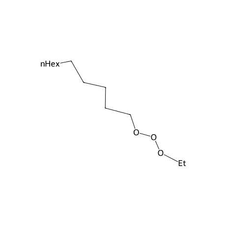 CCCCCCCCCCCOOOCC